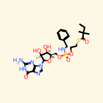 CCC(C)(C)C(=O)SCCOP(=O)(NCc1ccccc1)OC[C@H]1OC(n2cnc3c(=O)[nH]c(N)nc32)[C@@](C)(O)[C@H]1O